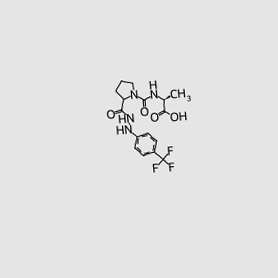 C[C@H](NC(=O)N1CCCC1C(=O)NNc1ccc(C(F)(F)F)cc1)C(=O)O